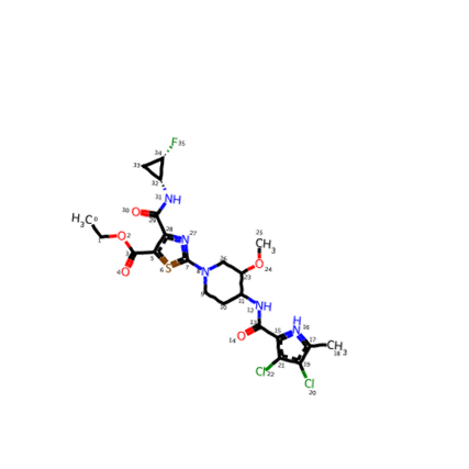 CCOC(=O)c1sc(N2CCC(NC(=O)c3[nH]c(C)c(Cl)c3Cl)C(OC)C2)nc1C(=O)N[C@@H]1C[C@@H]1F